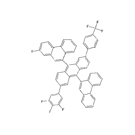 Fc1ccc2c(c1)cc(-c1c3ccc(-c4cc(F)c(F)c(F)c4)cc3c(-c3cc4ccccc4c4ccccc34)c3ccc(-c4ccc(C(F)(F)F)cc4)cc13)c1ccccc12